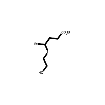 CCOC(=O)CCC(CC)OCCO